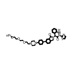 CCCOCCOCCOCCN1CCN(c2ccc(-c3ccc4c(c3)C(=O)N(C(C(=O)Nc3nccs3)c3ccccc3O)C4)cc2)CC1